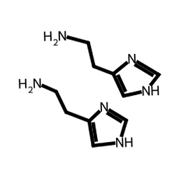 NCCc1c[nH]cn1.NCCc1c[nH]cn1